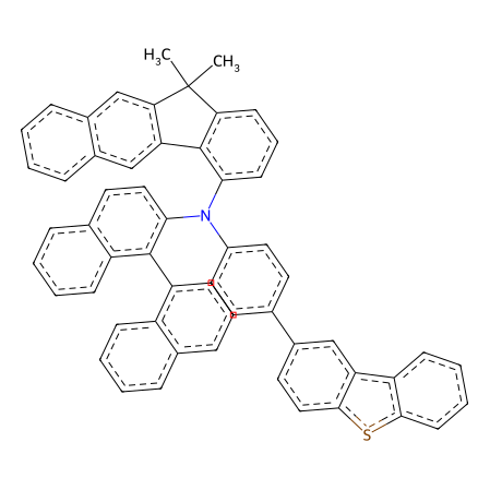 CC1(C)c2cc3ccccc3cc2-c2c(N(c3ccc(-c4ccc5sc6ccccc6c5c4)cc3)c3ccc4ccccc4c3-c3cccc4ccccc34)cccc21